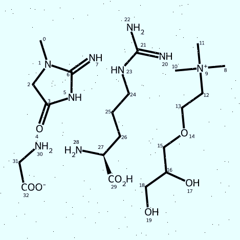 CN1CC(=O)NC1=N.C[N+](C)(C)CCOCC(O)CO.N=C(N)NCCC[C@H](N)C(=O)O.NCC(=O)[O-]